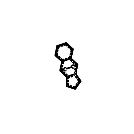 c1ccc2c3n4cccc4c(c2c1)CC3